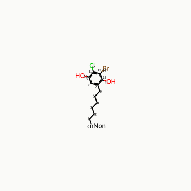 CCCCCCCCCCCCCCCc1cc(O)c(Cl)c(Br)c1O